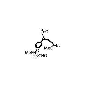 CCC(CCCC1C(N=S(=O)=O)C1c1ccccc1)OC.CNC(=O)NC=O